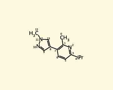 Cc1nc(C(C)C)ccc1-c1cnn(C)c1